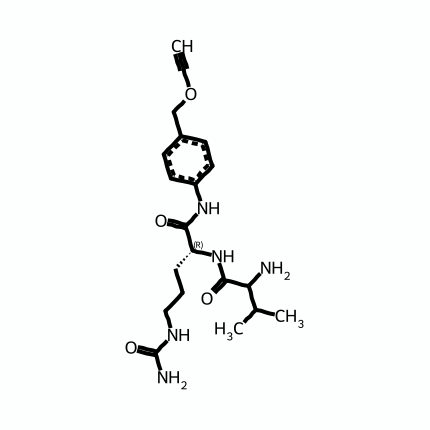 C#COCc1ccc(NC(=O)[C@@H](CCCNC(N)=O)NC(=O)C(N)C(C)C)cc1